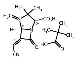 C=S1[C@@H]2/C(=C/C#N)C(=O)N2[C@@H](C(=O)O)C1(C)C.CC(C)(C)C(=O)O